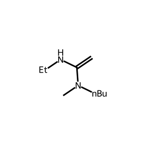 C=C(NCC)N(C)CCCC